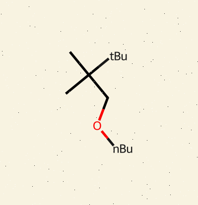 CCCCOCC(C)(C)C(C)(C)C